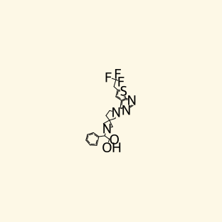 O=C(O)C(c1ccccc1)N1CC2(CCN(c3ncnc4sc(CC(F)(F)F)cc34)C2)C1